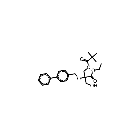 CCOC(=O)C(CO)(COC(=O)C(C)(C)C)OCc1ccc(-c2ccccc2)cc1